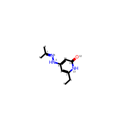 CCc1cc(NN=C(C)C)cc(=O)[nH]1